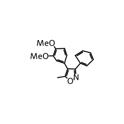 COc1ccc(-c2c(-c3ccccc3)noc2C)cc1OC